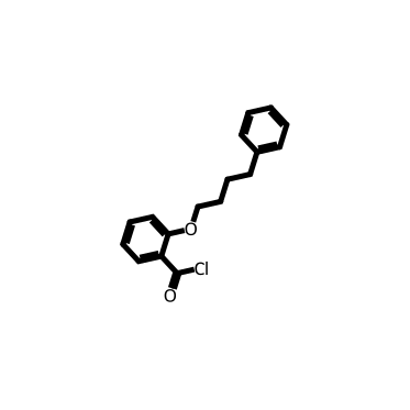 O=C(Cl)c1ccccc1OCCCCc1ccccc1